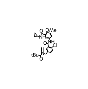 COc1ccc(NC(=O)c2cc(CNC(=O)C(C)(C)C)ccc2Cl)cc1C(=O)NC1CC1